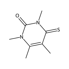 Cc1c(C)n(C)c(=O)n(C)c1=S